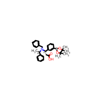 C[C@H](c1ccccc1)N(Cc1ccccc1)[C@@H](CC(=O)O)c1cccc(B2OC(C)(C)C(C)(C)O2)c1